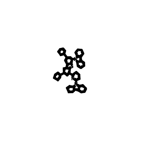 c1ccc(-c2cc(-c3cccc(-n4c5ccccc5c5ccccc54)n3)c3sc4c(-n5c6ccccc6c6ccccc65)cc(-c5ccccc5)cc4c3c2)cc1